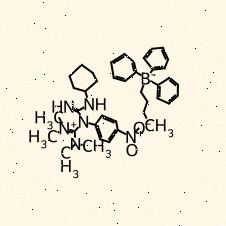 CCCC[B-](c1ccccc1)(c1ccccc1)c1ccccc1.CN(C)C(N(C(=N)NC1CCCCC1)c1ccc([N+](=O)[O-])cc1)=[N+](C)C